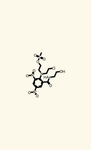 CS(=O)(=O)OCCN(CCCl)c1c(C(=O)[AsH]CCO)cc([N+](=O)[O-])cc1[N+](=O)[O-]